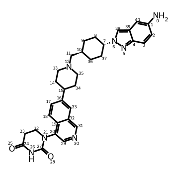 Nc1ccc2nn([C@H]3CC[C@H](CN4CCC(c5ccc6c(N7CCC(=O)NC7=O)cncc6c5)CC4)CC3)cc2c1